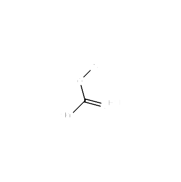 CCCC(=O)OC(C)=O.Cl